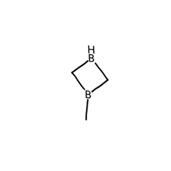 CB1CBC1